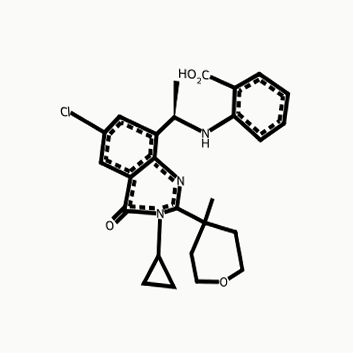 C[C@@H](Nc1ccccc1C(=O)O)c1cc(Cl)cc2c(=O)n(C3CC3)c(C3(C)CCOCC3)nc12